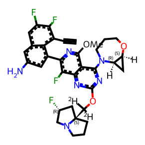 [2H]C([2H])(Oc1nc(N2CCCO[C@H]3C[C@H]32)c2c(OC)nc(-c3cc(N)cc4cc(F)c(F)c(C#C)c34)c(F)c2n1)[C@@]12CCCN1C[C@H](F)C2